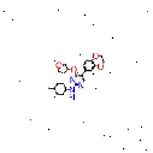 CC1CCC(Nc2ncc(-c3ccc4c(c3)OCCO4)c(OC3CCOC3)n2)CC1